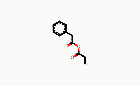 [CH2]CC(=O)OC(=O)Cc1ccccc1